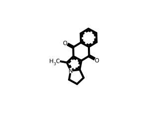 Cc1c2c(c3n1CCC3)C(=O)c1ccccc1C2=O